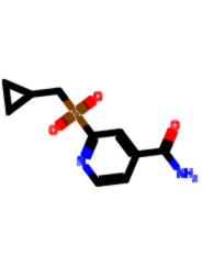 NC(=O)c1ccnc(S(=O)(=O)CC2CC2)c1